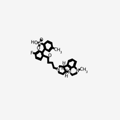 Cc1ccc(S(=O)(=O)O)c(-c2cc(F)ccc2C(=O)CCCN2CC[C@H]3[C@@H](C2)c2cccc4c2N3CCN4C)c1